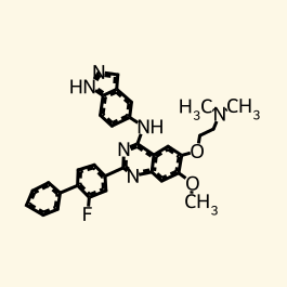 COc1cc2nc(-c3ccc(-c4ccccc4)c(F)c3)nc(Nc3ccc4[nH]ncc4c3)c2cc1OCCN(C)C